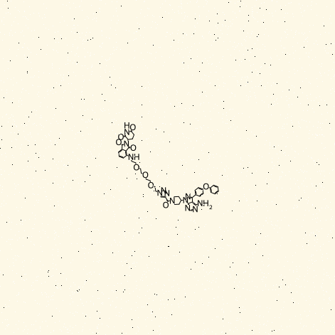 Nc1ncnc2c1c(-c1ccc(Oc3ccccc3)cc1)nn2C1CCN(C(=O)c2cn(CCOCCOCCOCCNc3cccc4c3C(=O)N(C3CCC(=O)NC3=O)C4=O)nn2)CC1